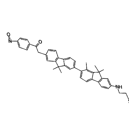 CSCCNc1ccc2c(c1)C(C)(C)c1c-2ccc(-c2ccc3c(c2)C(C)(C)c2cc(CC(=O)c4ccc(N=O)cc4)ccc2-3)c1C